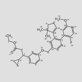 CCOC(=O)CC(c1cccc(OCc2cnc(-c3cc(OC)ncc3F)c(C3=CCCC3(C)C)n2)c1)C1CC1